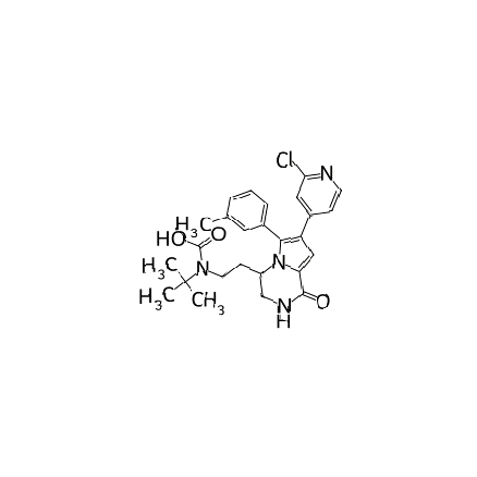 Cc1cccc(-c2c(-c3ccnc(Cl)c3)cc3n2C(CCN(C(=O)O)C(C)(C)C)CNC3=O)c1